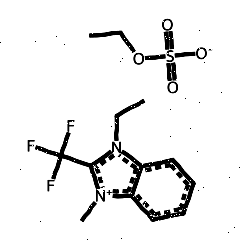 CCOS(=O)(=O)[O-].CCn1c(C(F)(F)F)[n+](C)c2ccccc21